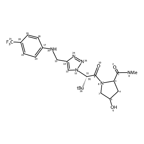 CNC(=O)C1CC(O)CN1C(=O)[C@@H](n1cc(CNc2ccc(C(F)(F)F)cc2)nn1)C(C)(C)C